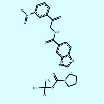 CC(C)(C)OC(=O)N1CCC[C@H]1c1nc2ccc(C(=O)NCC(=O)c3cccc([N+](=O)[O-])c3)cc2[nH]1